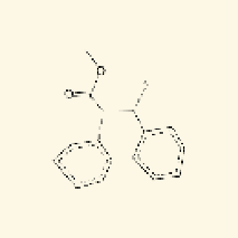 COC(=O)[C@@H](c1ccccc1)[C@H](C)c1ccccc1